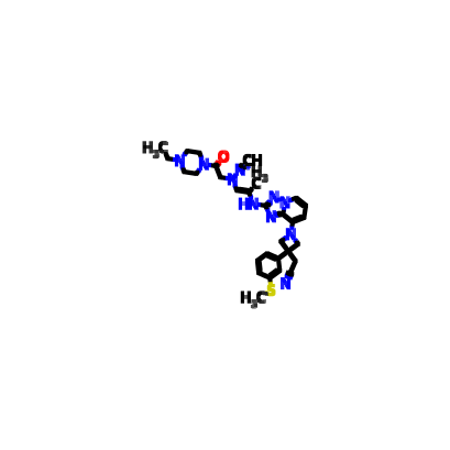 C#[N+]N(/C=C(\C)Nc1nc2c(N3CC(CC#N)(c4cccc(SC)c4)C3)cccn2n1)CC(=O)N1CCN(CC)CC1